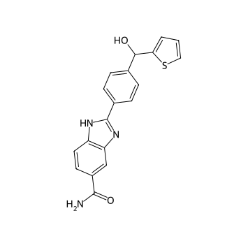 NC(=O)c1ccc2[nH]c(-c3ccc(C(O)c4cccs4)cc3)nc2c1